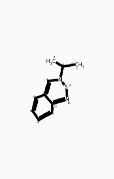 CC(C)N1C=c2ccccc2=NS1